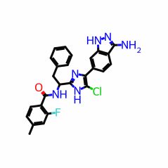 Cc1ccc(C(=O)NC(Cc2ccccc2)c2nc(-c3ccc4c(N)n[nH]c4c3)c(Cl)[nH]2)c(F)c1